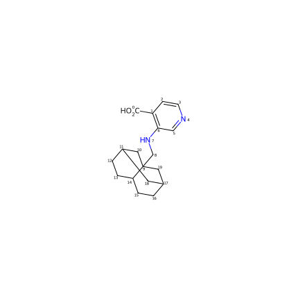 O=C(O)c1ccncc1NCC12CC3CCC1CCC(C3)C2